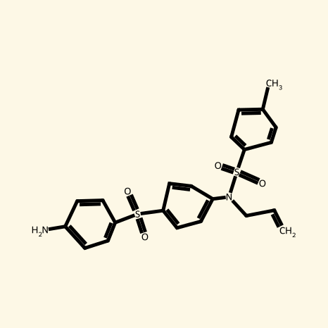 C=CCN(c1ccc(S(=O)(=O)c2ccc(N)cc2)cc1)S(=O)(=O)c1ccc(C)cc1